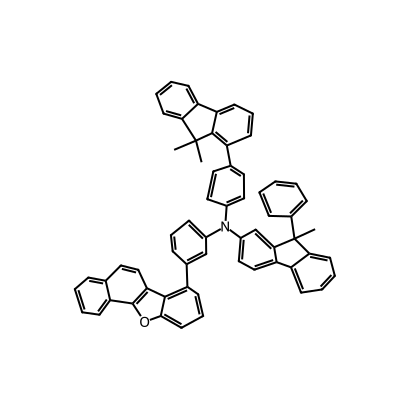 CC1(C)c2ccccc2-c2cccc(-c3ccc(N(c4cccc(-c5cccc6oc7c8ccccc8ccc7c56)c4)c4ccc5c(c4)C(C)(c4ccccc4)c4ccccc4-5)cc3)c21